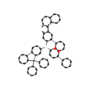 c1ccc(-c2ccc(N(c3ccc4c(c3)C(c3ccccc3)(c3ccccc3)c3ccccc3-4)c3cc4oc5ccc6ccccc6c5c4cc3-c3ccccc3)cc2)cc1